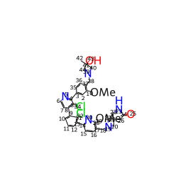 COc1cc(-c2nccc(-c3cccc(-c4ccc(CN5CC6(CNC(=O)C6)C5)c(OC)n4)c3Cl)c2Cl)ccc1CN1CC(C)(O)C1